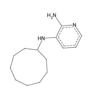 Nc1ncccc1NC1CCCCCCCC1